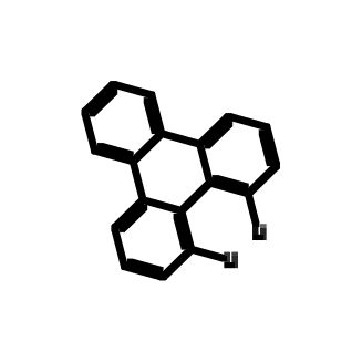 [Li][c]1cccc2c3ccccc3c3ccc[c]([Li])c3c12